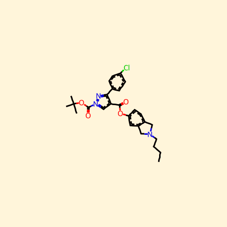 CCCCN1Cc2ccc(OC(=O)c3cn(C(=O)OC(C)(C)C)nc3-c3ccc(Cl)cc3)cc2C1